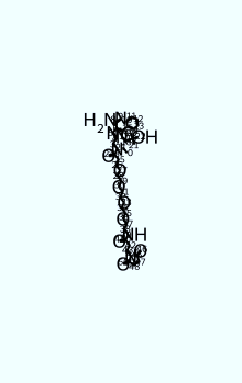 CCN(Cc1nc2c(N)nc3ccccc3c2n1CC(C)(C)O)C(=O)CCOCCOCCOCCOCCNC(=O)CCN1C(=O)C=CC1=O